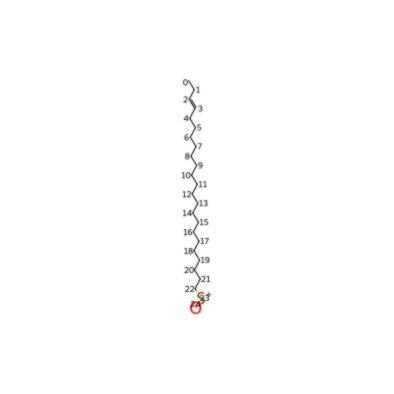 CCC=CCCCCCCCCCCCCCCCCCCC[S+]=O